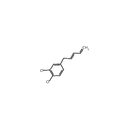 C=CC=CCc1ccc(Cl)c(Cl)c1